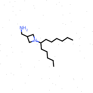 CCCCCCC(CCCCC)N1CC(CN)C1